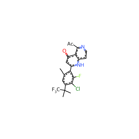 CC(=O)c1nccc2[nH]c(-c3c(C)cc(C(C)(C)C(F)(F)F)c(Cl)c3F)cc(=O)c12